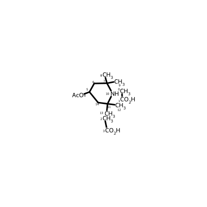 CC(=O)O.CC(=O)O.CC(=O)OC1CC(C)(C)NC(C)(C)C1